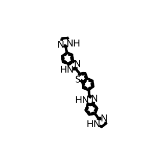 c1cc2[nH]c(-c3ccc4cc(-c5nc6cc(C7=NCCN7)ccc6[nH]5)sc4c3)nc2cc1C1=NCCN1